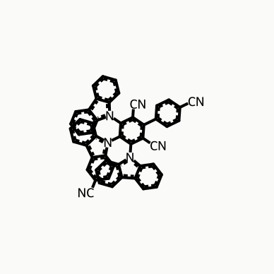 N#Cc1ccc(-c2c(C#N)c(-n3c4ccccc4c4ccccc43)c(-n3c4ccccc4c4cc(C#N)ccc43)c(-n3c4ccccc4c4ccccc43)c2C#N)cc1